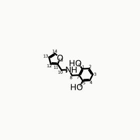 Oc1cccc(O)c1CNCc1ccco1